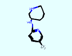 FC(F)(F)c1ccc(N[C@@H]2CCCNC2)nc1